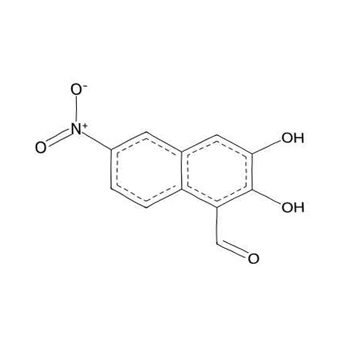 O=Cc1c(O)c(O)cc2cc([N+](=O)[O-])ccc12